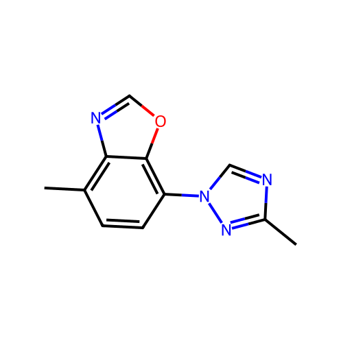 Cc1ncn(-c2ccc(C)c3ncoc23)n1